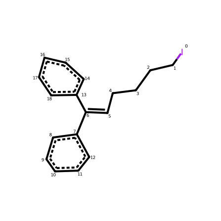 ICCCCC=C(c1ccccc1)c1ccccc1